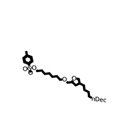 CCCCCCCCCCCCCCC1COC(COCCCCCCCOS(=O)(=O)c2ccc(C)cc2)C1